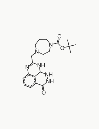 CC(C)(C)OC(=O)N1CCCN(CC2=Nc3cccc4c3C(NNC4=O)N2)CC1